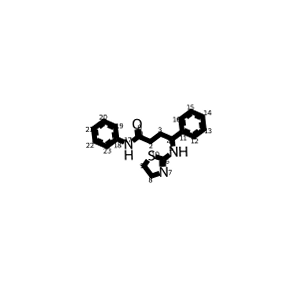 O=C(CCC(NC1=NCCS1)c1ccccc1)Nc1ccccc1